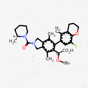 Cc1c(-c2c(C)c3c(c(C)c2[C@H](OC(C)(C)C)C(=O)O)CN(C(=O)N2CCCC[C@H]2C)C3)cc(F)c2c1CCCO2